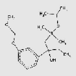 CCC(O)(C[Si](C)(C)OC(C)C)c1cccc(OCOC)c1